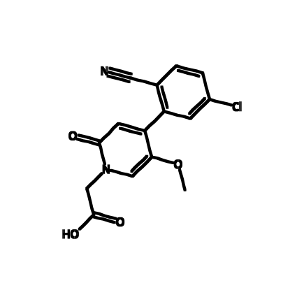 COc1cn(CC(=O)O)c(=O)cc1-c1cc(Cl)ccc1C#N